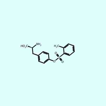 Cc1ccccc1S(=O)(=O)Oc1ccc(C[C@H](N)C(=O)O)cc1